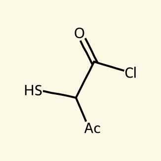 CC(=O)C(S)C(=O)Cl